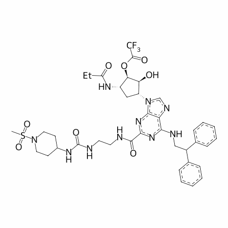 CCC(=O)N[C@H]1C[C@@H](n2cnc3c(NCC(c4ccccc4)c4ccccc4)nc(C(=O)NCCNC(=O)NC4CCN(S(C)(=O)=O)CC4)nc32)[C@H](O)[C@@H]1OC(=O)C(F)(F)F